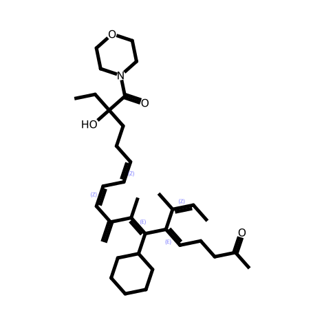 C=C(/C=C\C=C/CCC(O)(CC)C(=O)N1CCOCC1)/C(C)=C(C(=C/CCC(C)=O)/C(C)=C\C)\C1CCCCC1